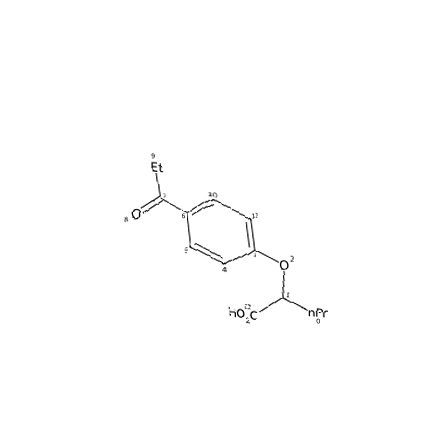 CCCC(Oc1ccc(C(=O)CC)cc1)C(=O)O